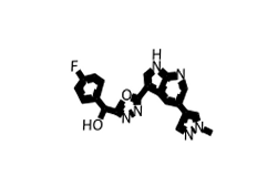 Cn1cc(-c2cnc3[nH]cc(-c4nnc(C(O)c5ccc(F)cc5)o4)c3c2)cn1